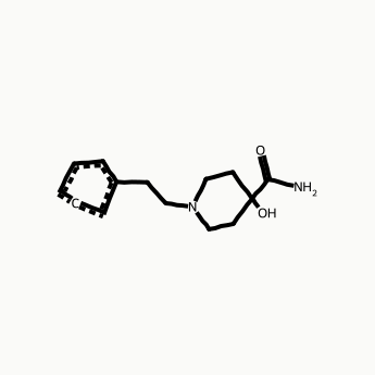 NC(=O)C1(O)CCN(CCc2ccccc2)CC1